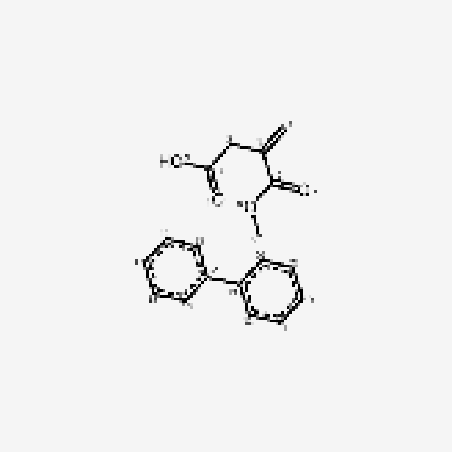 C=C(CC(=O)O)C(=O)OC.c1ccc(-c2ccccc2)cc1